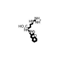 N=C(N)NCCC[C@H](NNCc1cc2ccccc2oc1=O)C(=O)O